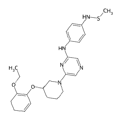 CCOC1=C(OC2CCCN(c3cncc(Nc4ccc(NSC)cc4)n3)C2)C=CCC1